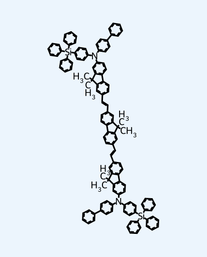 CC1(C)c2cc(/C=C/c3ccc4c(c3)C(C)(C)c3cc(N(c5ccc(-c6ccccc6)cc5)c5ccc([Si](c6ccccc6)(c6ccccc6)c6ccccc6)cc5)ccc3-4)ccc2-c2ccc(/C=C/c3ccc4c(c3)C(C)(C)c3cc(N(c5ccc(-c6ccccc6)cc5)c5ccc([Si](c6ccccc6)(c6ccccc6)c6ccccc6)cc5)ccc3-4)cc21